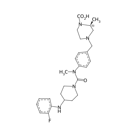 C[C@H]1CN(Cc2ccc(N(C)C(=O)N3CCC(Nc4ccccc4F)CC3)cc2)CCN1C(=O)O